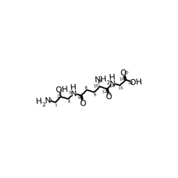 NCC(O)CNC(=O)CC[C@H](N)C(=O)NCC(=O)O